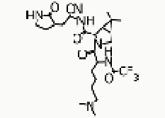 CN(C)CCCCC(NC(=O)C(F)(F)F)C(=O)N1CC2C(C1C(=O)NC(C#N)CC1CCNC1=O)C2(C)C